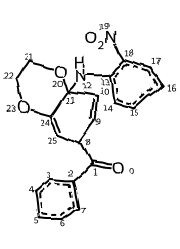 O=C(c1ccccc1)C1C=CC2(Nc3ccccc3[N+](=O)[O-])OCCOC2=C1